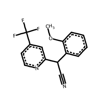 COc1ccccc1C(C#N)c1cc(C(F)(F)F)ccn1